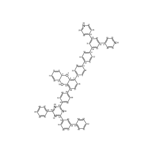 C1=CC2Oc3c(-c4ccc(-c5ccc(-c6cc(-c7ccncc7)cc(-c7ccncc7)c6)cc5)cc4)ccc(-c4ccc(-c5nc(-c6ccccc6)nc(-c6cccc(-c7ccccc7)c6)n5)cc4)c3OC2C=C1